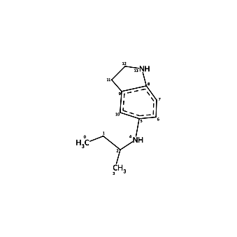 CCC(C)Nc1ccc2c(c1)CCN2